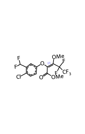 COC(=O)/C(Oc1ccc(Cl)c(C(F)F)c1)=C(/OC)C(F)(F)C(F)(F)F